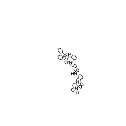 O=C(CC(=O)Nc1cccc2c1CN(C1CCC(=O)NC1=O)C2=O)CN1Cc2ccccc2[C@@H]2OC(c3ccccc3)=N[C@]2(Cc2ccccc2)C1=O